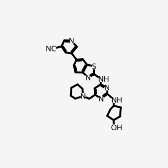 N#Cc1cncc(-c2ccc3nc(Nc4cc(CN5CCCCC5)nc(NC5CCC(O)CC5)n4)sc3c2)c1